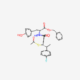 CC(=O)SC(C(=O)NC(Cc1ccc(O)cc1)C(=O)OCc1ccccc1)C(C)c1ccc(F)cc1